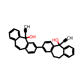 C#CC1(O)c2ccccc2C=Cc2ccc(-c3ccc4c(c3)CCc3ccccc3C4(O)C#C)cc21